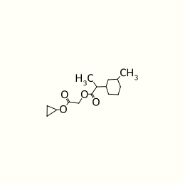 CC1CCCC(C(C)C(=O)OCC(=O)OC2CC2)C1